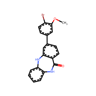 COc1cc(-c2ccc3c(c2)Nc2ccccc2NC3=O)ccc1Br